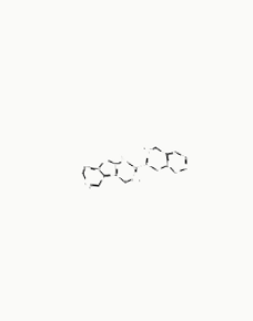 c1ccc2cc(-c3ncc4c(n3)sc3ccncc34)ncc2c1